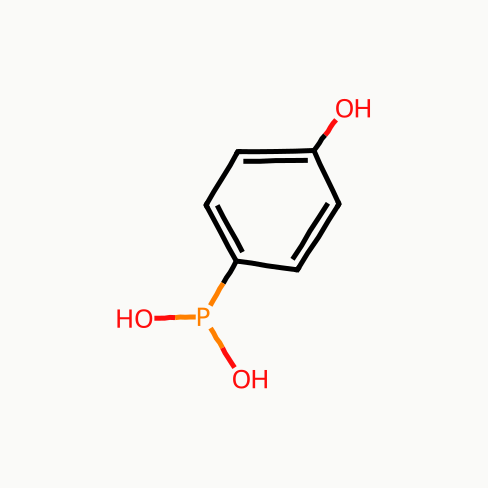 Oc1ccc(P(O)O)cc1